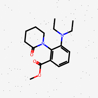 CCN(CC)c1cccc(C(=O)OC)c1N1CCCCC1=O